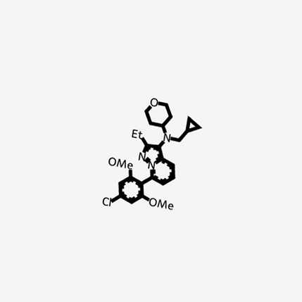 CCc1nn2c(-c3c(OC)cc(Cl)cc3OC)cccc2c1N(CC1CC1)C1CCOCC1